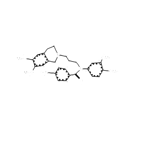 COc1ccc(N(CCCN2CCc3cc(OC)c(OC)cc3C2)C(=O)c2ccc([N+](=O)[O-])cc2)cc1OC